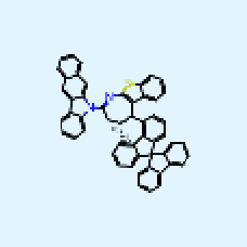 CC[C@@H]1CC(n2c3ccccc3c3cc4ccccc4cc32)=Nc2sc3ccccc3c2C1c1cccc2c1-c1ccccc1C21c2ccccc2-c2ccccc21